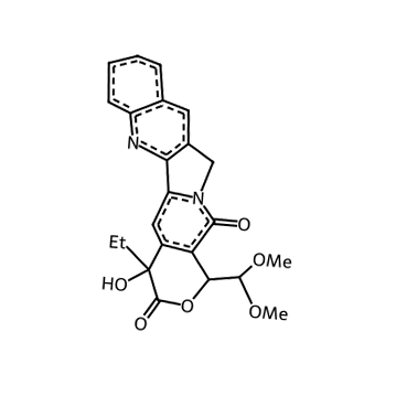 CCC1(O)C(=O)OC(C(OC)OC)c2c1cc1n(c2=O)Cc2cc3ccccc3nc2-1